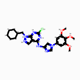 COc1cc(-n2cnc(Nc3nc(Cl)nc4c3cnn4CC3CCCCC3)c2)cc(OC)c1OC